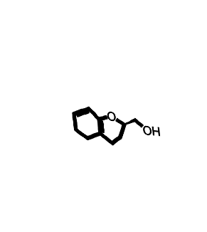 OC[C@H]1CCC2=C(C=CCC2)O1